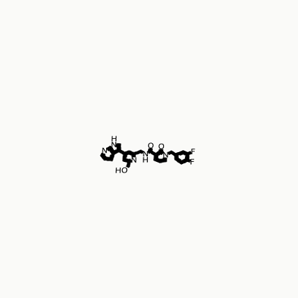 O=C(NCc1cc(-c2c[nH]c3ncccc23)cc(CO)n1)c1cccn(Cc2ccc(F)c(F)c2)c1=O